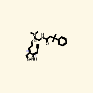 C#C/C=c1/[nH]nc/c1=C/CC[C@@H](CNC(=O)CC(C)(C)c1ccccc1)N(C)C